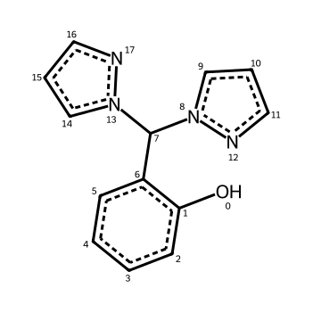 Oc1ccccc1C(n1cccn1)n1cccn1